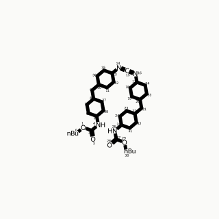 CCCCOC(=O)NC1CCC(CC2CCC(N=C=NC3CCC(CC4CCC(NC(=O)OCCCC)CC4)CC3)CC2)CC1